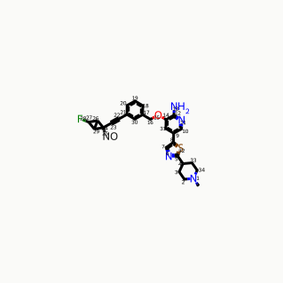 CN1CCC(c2ncc(-c3cnc(N)c(OCc4cccc(C#CC5(N=O)C6C(F)C65)c4)c3)s2)CC1